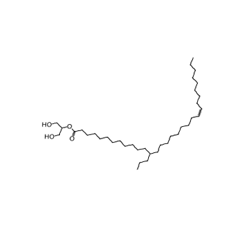 CCCCCCCC/C=C\CCCCCCCCC(CCC)CCCCCCCCCCCC(=O)OC(CO)CO